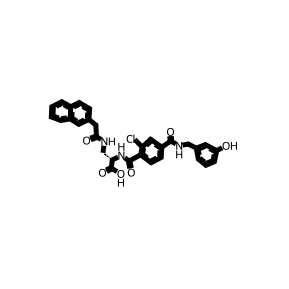 O=C(Cc1ccc2ccccc2c1)NC[C@H](NC(=O)c1ccc(C(=O)NCc2cccc(O)c2)cc1Cl)C(=O)O